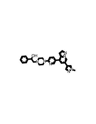 Cn1cc(-c2cc(-c3ccc(N4CCN(CC(O)c5ccccc5)CC4)nc3)c3ccnn3c2)cn1